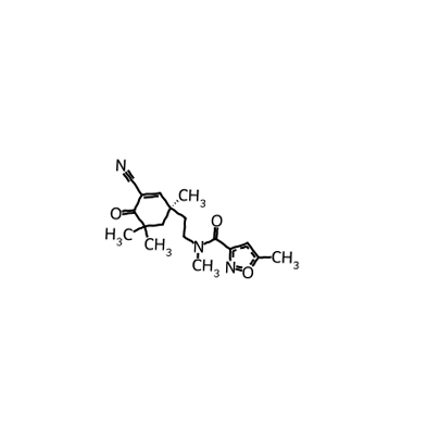 Cc1cc(C(=O)N(C)CC[C@]2(C)C=C(C#N)C(=O)C(C)(C)C2)no1